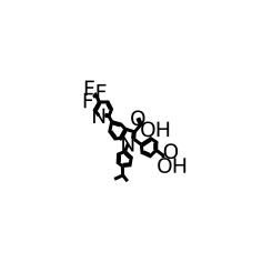 CC(C)c1ccc(-n2c(-c3ccc(C(=O)O)cc3)c(C(=O)O)c3cc(-c4ccc(C(F)(F)F)cn4)ccc32)cc1